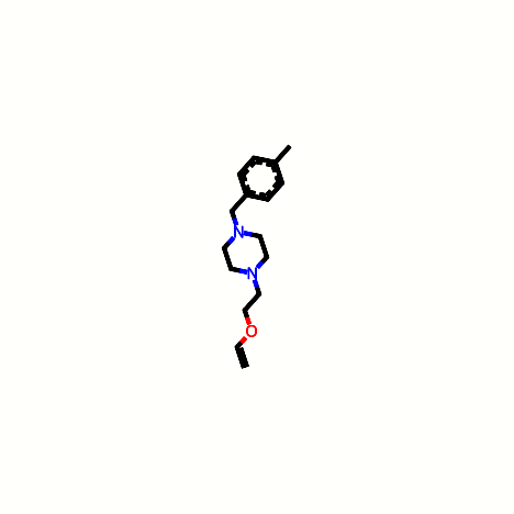 C=COCCN1CCN(Cc2ccc(C)cc2)CC1